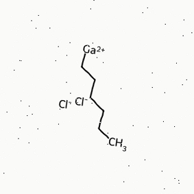 CCCCC[CH2][Ga+2].[Cl-].[Cl-]